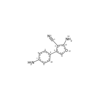 N#Cc1c(-c2ccc(N)cc2)coc1N